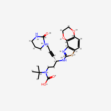 CC#C[C@@H](CCN(C(=O)O)C(C)(C)C)Nc1nc2c3c(ccc2s1)OCCO3.O=C1NCCCN1